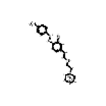 O=[N+]([O-])c1ccc(N=Nc2ccc(CCNCC[N+]34CCN(CC3)CC4)cc2Cl)cc1